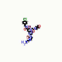 NCCN1CCN(c2cnc3c(cc(C(=O)NCc4ccc(Cl)cc4)c(=O)n3CC(=O)N3CC4(COC4)C3)n2)C1=O